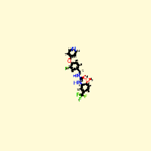 COc1ccc(C(F)(F)F)cc1NC(=O)NCc1ccc(Oc2ccncc2)c(F)c1